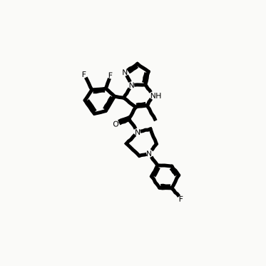 CC1=C(C(=O)N2CCN(c3ccc(F)cc3)CC2)C(c2cccc(F)c2F)n2nccc2N1